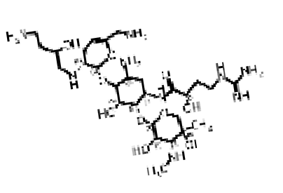 CN[C@@H]1[C@@H](O)[C@@H](O[C@H]2[C@H](NC(=O)[C@@H](O)CCNC(=N)N)C[C@H](N)C(O[C@H]3OC(CN)=CC[C@H]3NCC(O)CCN)[C@@H]2O)OC[C@]1(C)O